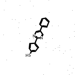 Sc1ccc(-c2ncc(-c3ccccc3)cn2)cc1